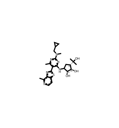 Cc1nc(N(C)CC2CC2)nc(NC2C[C@H](C(C)(C)O)[C@@H](O)[C@H]2O)c1-c1nc2c(C)nccc2s1